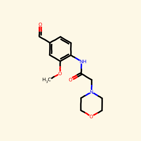 COc1cc(C=O)ccc1NC(=O)CN1CCOCC1